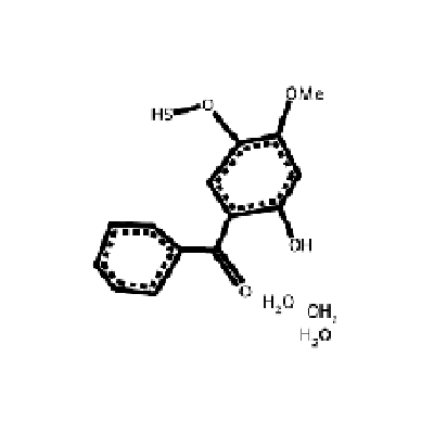 COc1cc(O)c(C(=O)c2ccccc2)cc1OS.O.O.O